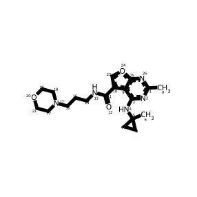 Cc1nc(NC2(C)CC2)c2c(C(=O)NCCCN3CCOCC3)coc2n1